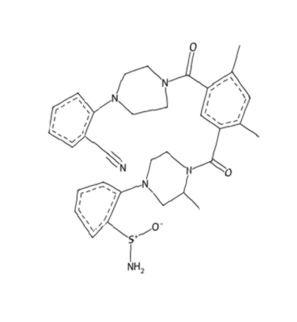 Cc1cc(C)c(C(=O)N2CCN(c3ccccc3[S+](N)[O-])CC2C)cc1C(=O)N1CCN(c2ccccc2C#N)CC1